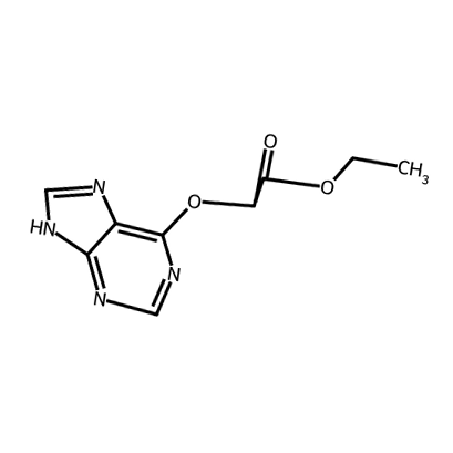 CCOC(=O)COc1ncnc2[nH]cnc12